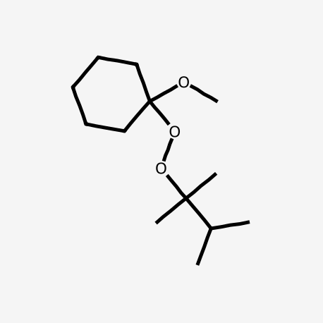 COC1(OOC(C)(C)C(C)C)CCCCC1